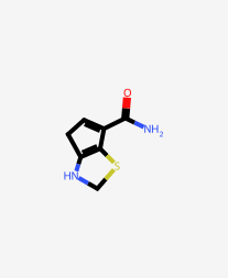 NC(=O)C1=CCC2=C1SCN2